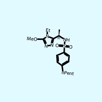 CCCCCc1ccc(S(=O)(=O)N[C@H](C)c2nnc(OC)n2CC)cc1